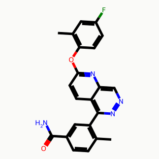 Cc1cc(F)ccc1Oc1ccc2c(-c3cc(C(N)=O)ccc3C)nncc2n1